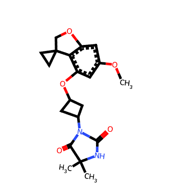 COc1cc2c(c(OC3CC(N4C(=O)NC(C)(C)C4=O)C3)c1)C1(CC1)CO2